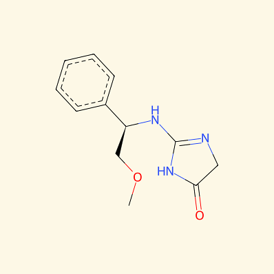 COC[C@H](NC1=NCC(=O)N1)c1ccccc1